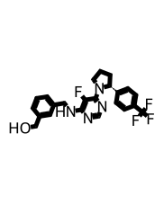 OCc1cccc(CNc2ncnc(N3CCC[C@@H]3c3ccc(C(F)(F)F)cc3)c2F)c1